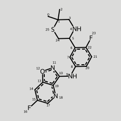 CC1(C)CNC(c2cc(Nc3noc4cc(F)cnc34)ccc2F)CS1